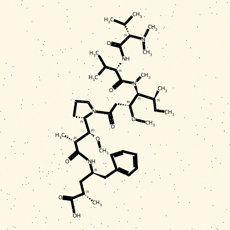 CC[C@H](C)[C@@H]([C@@H](CC(=O)N1CCC[C@H]1[C@H](OC)[C@@H](C)C(=O)N[C@@H](Cc1ccccc1)C[C@H](C)C(=O)O)OC)N(C)C(=O)[C@@H](NC(=O)[C@H](C(C)C)N(C)C)C(C)C